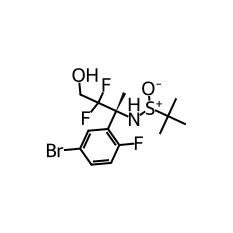 CC(C)(C)[S+]([O-])N[C@](C)(c1cc(Br)ccc1F)C(F)(F)CO